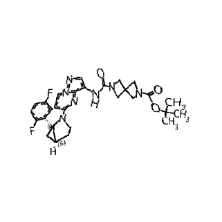 CC(C)(C)OC(=O)N1CC2(CN(C(=O)Nc3cnn4ccc(N5CC[C@H]6C[C@]65c5cc(F)ccc5F)nc34)C2)C1